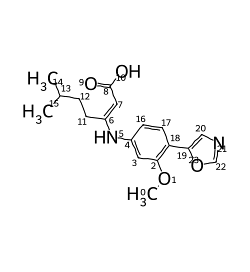 COc1cc(NC(=CC(=O)O)CCC(C)C)ccc1-c1cnco1